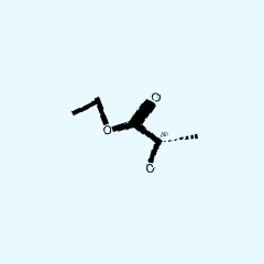 CCOC(=O)[C@H](C)[O]